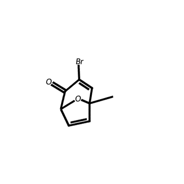 CC12C=CC(O1)C(=O)C(Br)=C2